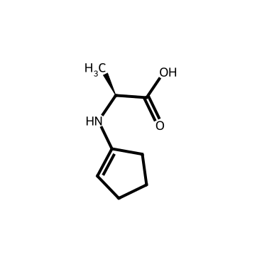 C[C@H](NC1=CCCC1)C(=O)O